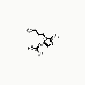 CCCCn1ccnc1C.O=C(O)O